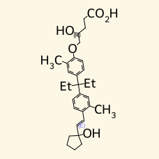 CCC(CC)(c1ccc(/C=C/C2(O)CCCC2)c(C)c1)c1ccc(OC[C@H](O)CCC(=O)O)c(C)c1